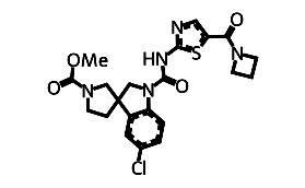 COC(=O)N1CCC2(C1)CN(C(=O)Nc1ncc(C(=O)N3CCC3)s1)c1ccc(Cl)cc12